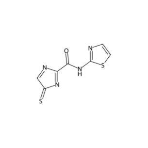 O=C(Nc1nccs1)C1=NC(=S)C=N1